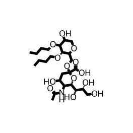 CCCCOC1C(O)COC(COC2(C(=O)O)CC(O)C(NC(C)=O)[C@H]([C@H](O)[C@H](O)CO)O2)[C@H]1OCCCC